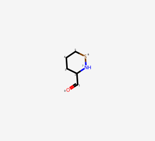 O=[C]C1CCCSN1